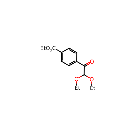 CCOC(=O)c1ccc(C(=O)C(OCC)OCC)cc1